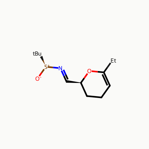 CCC1=CCC[C@@H](/C=N/[S@@+]([O-])C(C)(C)C)O1